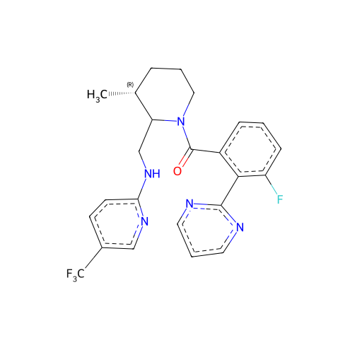 C[C@@H]1CCCN(C(=O)c2cccc(F)c2-c2ncccn2)C1CNc1ccc(C(F)(F)F)cn1